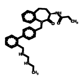 CCNCNCc1ccccc1-c1ccc(CN2C(=O)[C@H](NC(=O)CC)CCc3ccccc32)cc1